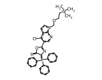 C[Si](C)(C)CCOCn1ccc2c(Cl)c(C3=NC(=P(c4ccccc4)(c4ccccc4)c4ccccc4)C(=S)O3)cnc21